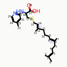 CC(C)=CCC/C(C)=C/CCC/C(C)=C/CSCC(Nc1cc(C)ccn1)C(=O)O